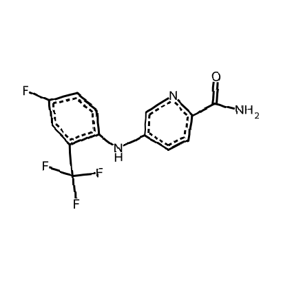 NC(=O)c1ccc(Nc2ccc(F)cc2C(F)(F)F)cn1